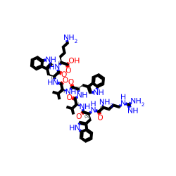 CC(C)[C@H](NC(=O)[C@H](Cc1c[nH]c2ccccc12)NC(=O)[C@@H](NC(=O)[C@H](Cc1c[nH]c2ccccc12)NC(=O)[C@@H](N)CCCNC(=N)N)C(C)C)C(=O)N[C@@H](Cc1c[nH]c2ccccc12)C(=O)N[C@@H](CCCCN)C(=O)O